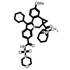 COc1ccc2c(c1)C1CC1(C(=O)N1C3CCCC1N(C)C3)Cn1c-2c(C2CCCCC2)c2ccc(C(=O)NS(=O)(=O)N3CCOCC3)cc21